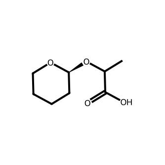 CC(O[C@H]1CCCCO1)C(=O)O